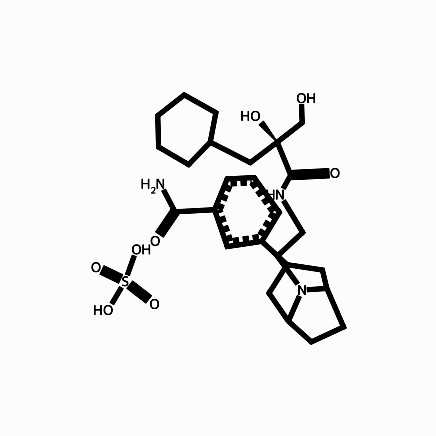 NC(=O)c1cccc(C2CC3CCC(C2)N3CCNC(=O)[C@@](O)(CO)CC2CCCCC2)c1.O=S(=O)(O)O